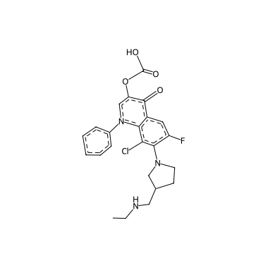 CCNCC1CCN(c2c(F)cc3c(=O)c(OC(=O)O)cn(-c4ccccc4)c3c2Cl)C1